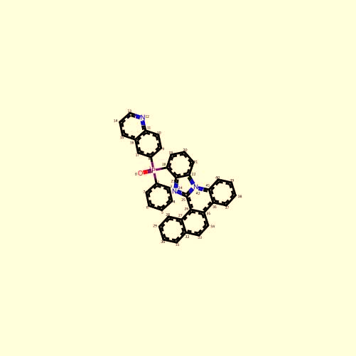 O=P(c1ccccc1)(c1ccc2ncccc2c1)c1cccc2c1nc1c3c4ccccc4ccc3c3ccccc3n21